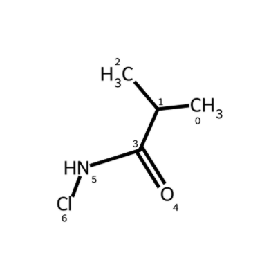 CC(C)C(=O)NCl